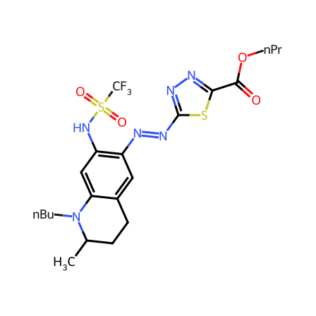 CCCCN1c2cc(NS(=O)(=O)C(F)(F)F)c(N=Nc3nnc(C(=O)OCCC)s3)cc2CCC1C